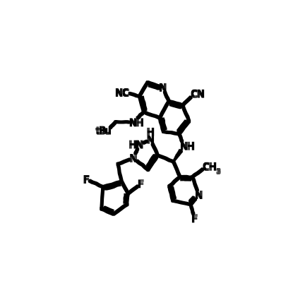 Cc1nc(F)ccc1[C@H](Nc1cc(C#N)c2ncc(C#N)c(NCC(C)(C)C)c2c1)C1=CN(Cc2c(F)cccc2F)NN1